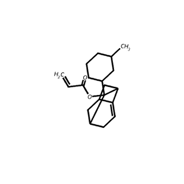 C=CC(=O)OC1(C2CCCC(C)C2)C2CC=C3C(C2)CC31